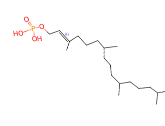 C/C(=C\COP(=O)(O)O)CCCC(C)CCCC(C)CCCC(C)C